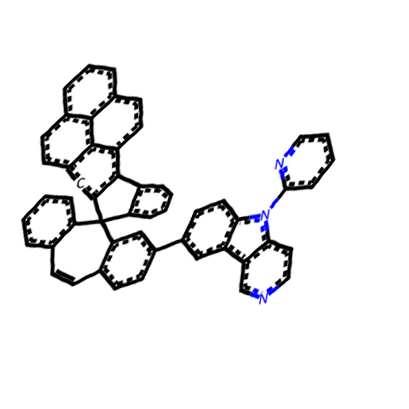 C1=Cc2ccc(-c3ccc4c(c3)c3cnccc3n4-c3ccccn3)cc2C2(c3ccccc31)c1ccccc1-c1c2cc2ccc3cccc4ccc1c2c34